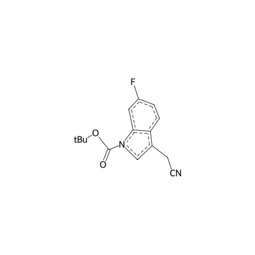 CC(C)(C)OC(=O)n1cc(CC#N)c2ccc(F)cc21